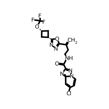 C=C(CCNC(=O)c1nc2cc(Cl)ccn2n1)c1nnc([C@H]2C[C@@H](OC(F)(F)F)C2)o1